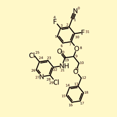 N#Cc1c(F)ccc(OC(COCc2ccccc2)C(=O)Nc2cc(Cl)cnc2Cl)c1F